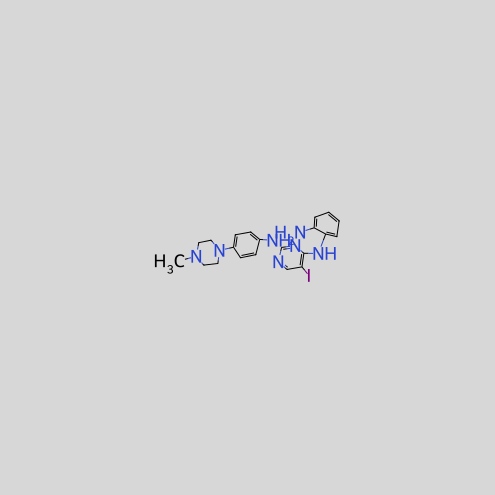 CN1CCN(c2ccc(Nc3ncc(I)c(Nc4ccccc4N)n3)cc2)CC1